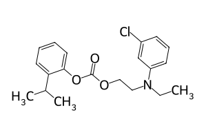 CCN(CCOC(=O)Oc1ccccc1C(C)C)c1cccc(Cl)c1